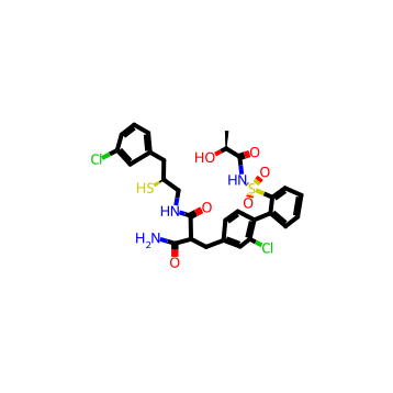 C[C@H](O)C(=O)NS(=O)(=O)c1ccccc1-c1ccc(CC(C(N)=O)C(=O)NC[C@@H](S)Cc2cccc(Cl)c2)cc1Cl